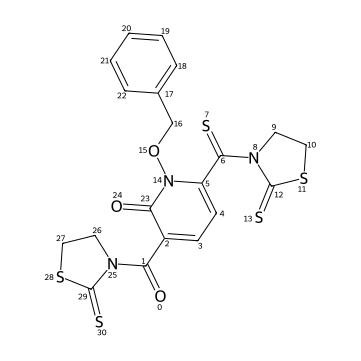 O=C(c1ccc(C(=S)N2CCSC2=S)n(OCc2ccccc2)c1=O)N1CCSC1=S